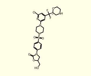 O=C1OC(CO)CN1c1ccc(S(=O)(=O)N2CCN(c3cc(C(F)(F)[C@@H]4CNCCO4)cc(Cl)n3)CC2)cc1